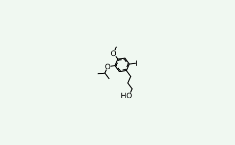 COc1cc(I)c(CCCO)cc1OC(C)C